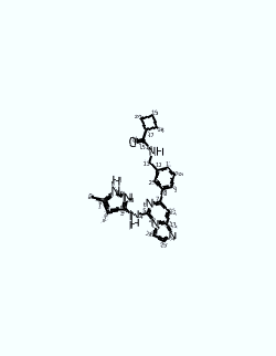 Cc1cc(Nc2nc(-c3cccc(CNC(=O)C4CCC4)c3)cc3nccn23)n[nH]1